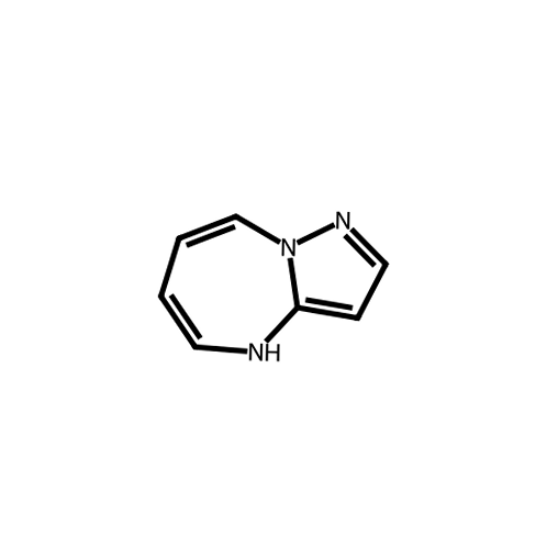 C1=CNc2ccnn2C=C1